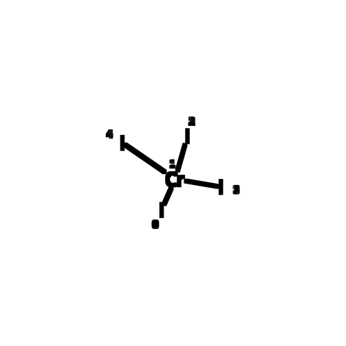 [I][Cr]([I])([I])[I]